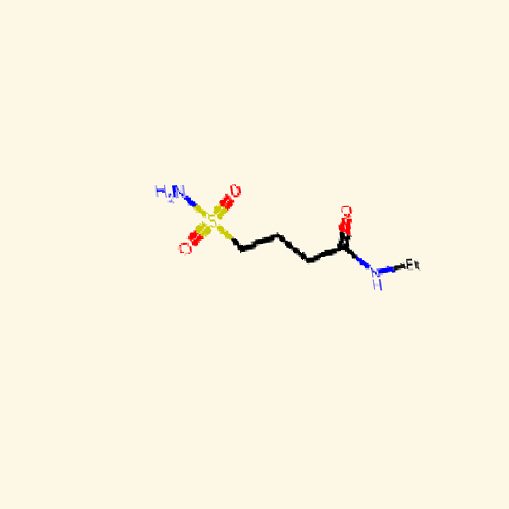 CCNC(=O)CCCS(N)(=O)=O